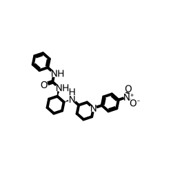 O=C(Nc1ccccc1)N[C@@H]1CCCC[C@H]1NC1CCCN(c2ccc([N+](=O)[O-])cc2)C1